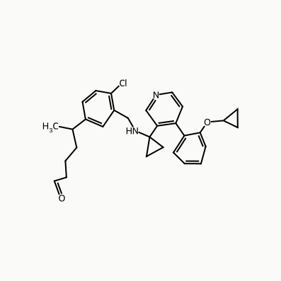 CC(CCCC=O)c1ccc(Cl)c(CNC2(c3cnccc3-c3ccccc3OC3CC3)CC2)c1